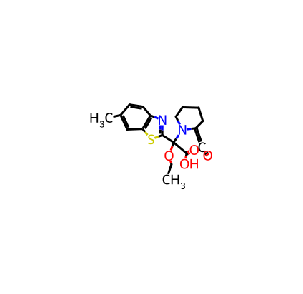 CCOC(C(=O)O)(c1nc2ccc(C)cc2s1)N1CCCCC1=C=O